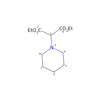 CCOC(=O)C(C(=O)OCC)N1CCCCC1